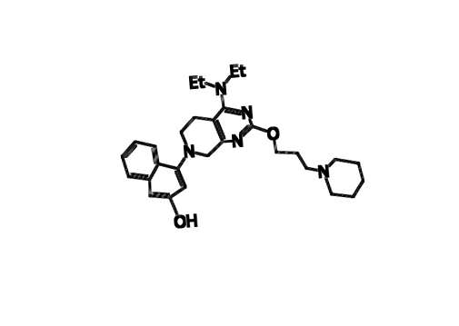 CCN(CC)c1nc(OCCCN2CCCCC2)nc2c1CCN(c1cc(O)cc3ccccc13)C2